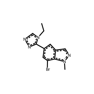 CCn1cnnc1-c1cc(Br)c2c(cnn2C)c1